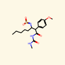 CCCCCC(N=S(=O)=O)C(C(=O)NC(=O)NC)c1ccc(OC)cc1